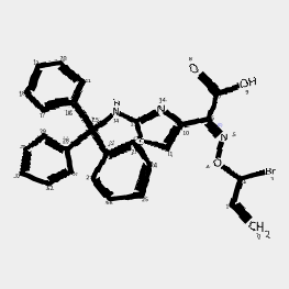 C=CC(Br)O/N=C(/C(=O)O)c1csc(NC(c2ccccc2)(c2ccccc2)c2ccccc2)n1